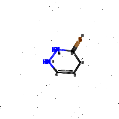 S=C1CC=CNN1